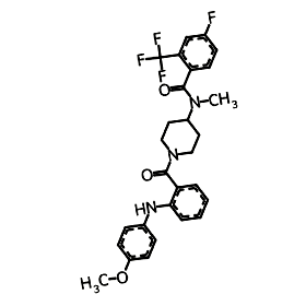 COc1ccc(Nc2ccccc2C(=O)N2CCC(N(C)C(=O)c3ccc(F)cc3C(F)(F)F)CC2)cc1